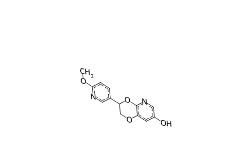 COc1ccc(C2COc3cc(O)cnc3O2)cn1